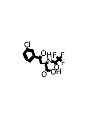 O=C(C[C@@H](NC(=O)C(F)(F)F)C(=O)O)c1cccc(Cl)c1